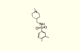 Cc1ccc(S(=O)(=O)NCC2CCN(C)CC2)cc1C